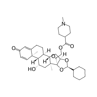 CN1CCC(C(=O)OCC(=O)[C@@]23O[C@H](C4CCCCC4)O[C@@H]2C[C@H]2[C@@H]4CCC5=CC(=O)C=C[C@]5(C)[C@H]4[C@@H](O)C[C@@]23C)CC1